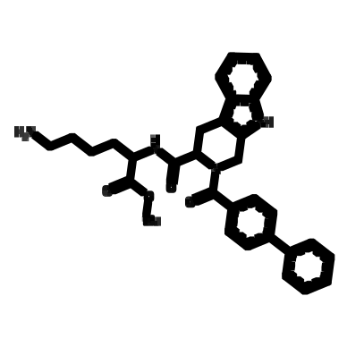 CC(C)(C)OC(=O)C(CCCCN)NC(=O)C1Cc2c([nH]c3ccccc23)CN1C(=O)c1ccc(-c2ccccc2)cc1